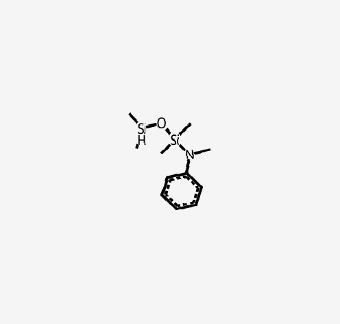 CN(c1ccccc1)[Si](C)(C)O[SiH](C)C